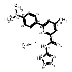 Cc1cc(C(=O)Nc2nnn[nH]2)nc(-c2ccc(N(C)C)cc2)c1.[NaH]